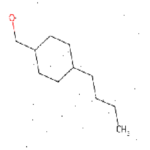 CCCCC1CCC(C[O])CC1